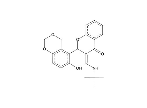 CC(C)(C)N/C=C1\C(=O)c2ccccc2OC1c1c(O)ccc2c1COCO2